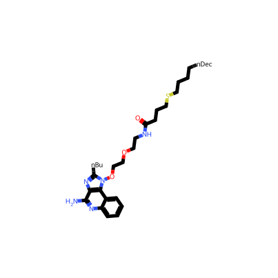 CCCCCCCCCCCCCCSCCCC(=O)NCCOCCOn1c(CCCC)nc2c(N)nc3ccccc3c21